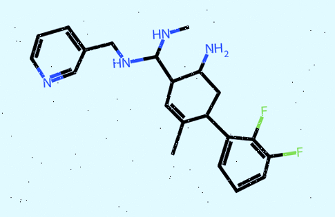 CNC(NCc1cccnc1)C1C=C(C)C(c2cccc(F)c2F)CC1N